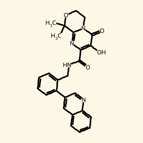 CC1(C)OCCn2c1nc(C(=O)NCc1ccccc1-c1cnc3ccccc3c1)c(O)c2=O